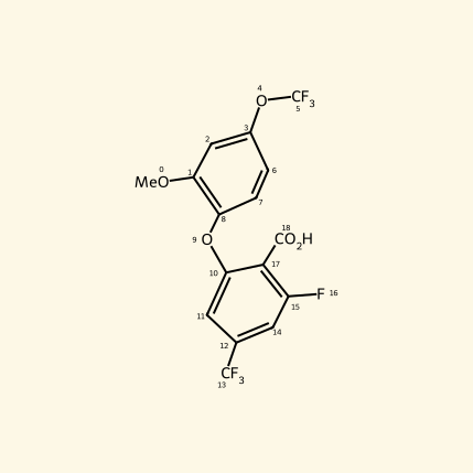 COc1cc(OC(F)(F)F)ccc1Oc1cc(C(F)(F)F)cc(F)c1C(=O)O